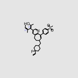 C=CC1(F)CCC(CC2C=C(c3ccc(S(C)(=O)=O)cc3)c3ncc(C(/C(C)=C\C)=C(\C)O)cc3CC2)CC1